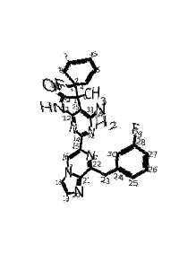 CC1(C2(F)C=CC=CC2)C(=O)Nc2nc(-c3cn4ccnc4c(Cc4cccc(F)c4)n3)nc(N)c21